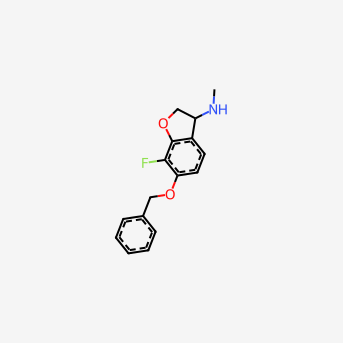 CNC1COc2c1ccc(OCc1ccccc1)c2F